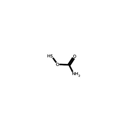 NC(=O)OS